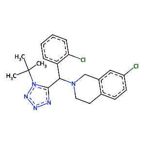 CC(C)(C)n1nnnc1C(c1ccccc1Cl)N1CCc2ccc(Cl)cc2C1